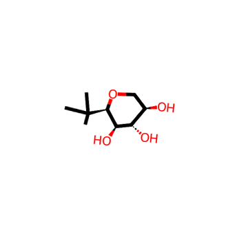 CC(C)(C)[C@H]1OC[C@@H](O)[C@H](O)[C@H]1O